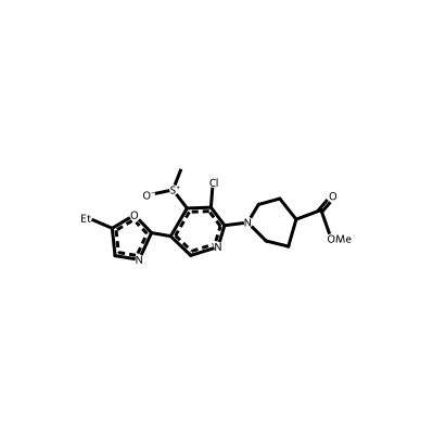 CCc1cnc(-c2cnc(N3CCC(C(=O)OC)CC3)c(Cl)c2[S+](C)[O-])o1